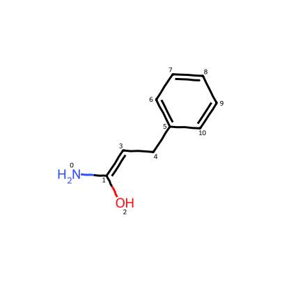 NC(O)=CCc1ccccc1